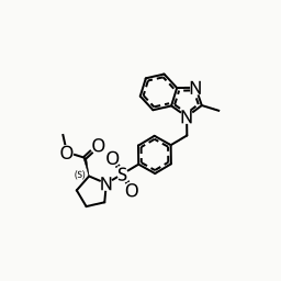 COC(=O)[C@@H]1CCCN1S(=O)(=O)c1ccc(Cn2c(C)nc3ccccc32)cc1